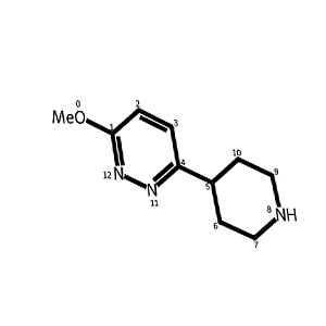 COc1ccc(C2CCNCC2)nn1